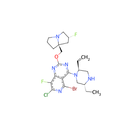 C=C[C@H]1CN[C@H](CC)CN1c1nc(OC[C@@]23CCCN2C[C@H](F)C3)nc2c(F)c(Cl)nc(Br)c12